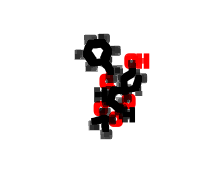 CC[C@@]1(CCO)O[C@@H]2OC(C)(C)O[C@H]2C1OCc1ccccc1